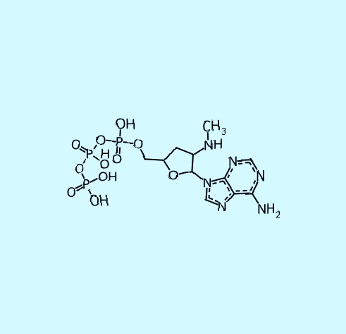 CNC1CC(COP(=O)(O)OP(=O)(O)OP(=O)(O)O)OC1n1cnc2c(N)ncnc21